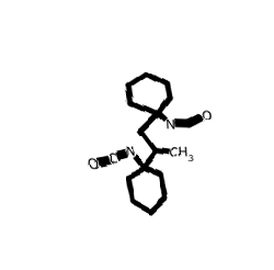 CC(CC1(N=C=O)CCCCC1)C1(N=C=O)CCCCC1